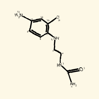 NC(=O)NCCNc1ccc(N)cc1Cl